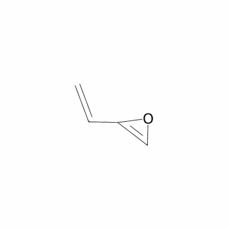 C=CC1=CO1